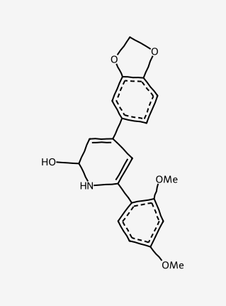 COc1ccc(C2=CC(c3ccc4c(c3)OCO4)=CC(O)N2)c(OC)c1